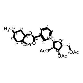 CC(=O)OC[C@H]1O[C@@H]([n+]2cccc(C(=O)OC3CC(C)CCC3C(C)C)c2)[C@H](OC(C)=O)[C@@H]1OC(C)=O